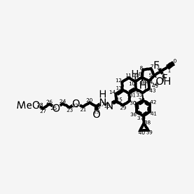 C#CC(F)(F)[C@]1(O)CC[C@H]2[C@@H]3CCC4=CC(=NNC(=O)CCOCCOCCOC)CCC4=C3[C@H](c3ccc(C4CC4)cc3)C[C@@]21C